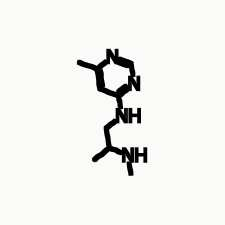 CNC(C)CNc1cc(C)ncn1